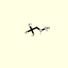 OOCC(F)(F)F